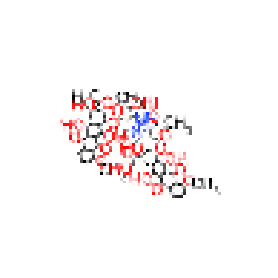 COc1cccc2c1C(=O)c1c(O)c3c(c(O)c1C2=O)C[C@@](O)(C(C)=O)C[C@@H]3OC1CC(NN(C2CC(O[C@H]3C[C@](O)(C(=O)CO)Cc4c(O)c5c(c(O)c43)C(=O)c3c(OC)cccc3C5=O)OC(C)C2O)N2CCOCC2)C(O)C(C)O1